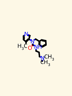 Cc1ccncc1N(Cc1ccccc1)C(=O)NCCCN(C)C